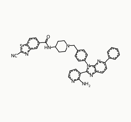 N#Cc1nc2cc(C(=O)NC3CCN(Cc4ccc(-n5c(-c6cccnc6N)nc6ccc(-c7ccccc7)nc65)cc4)CC3)ccc2s1